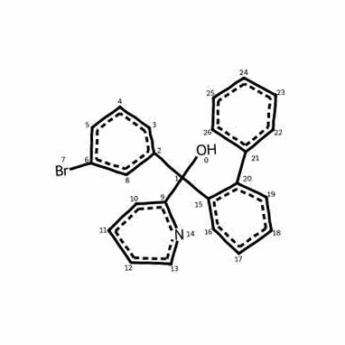 OC(c1cccc(Br)c1)(c1ccccn1)c1ccccc1-c1ccccc1